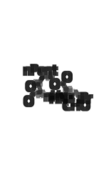 CCCCCC[C@@H]1C(=O)O[C@H]1C[C@H](CCCCC)OC(=O)[C@H](CC(C)C)NC=O